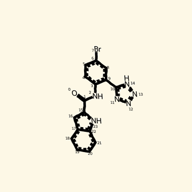 O=C(Nc1ccc(Br)cc1-c1nnn[nH]1)c1cc2ccccc2[nH]1